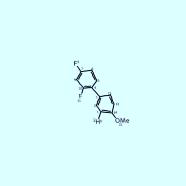 [2H]c1cc(-c2ccc(F)cc2F)ccc1OC